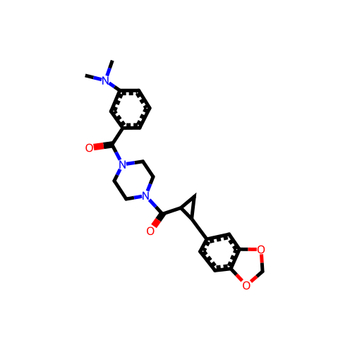 CN(C)c1cccc(C(=O)N2CCN(C(=O)C3CC3c3ccc4c(c3)OCO4)CC2)c1